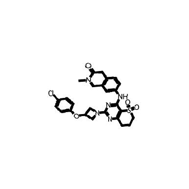 CN1Cc2cc(Nc3nc(N4CC(Oc5ccc(Cl)cc5)C4)nc4c3S(=O)(=O)CCC4)ccc2CC1=O